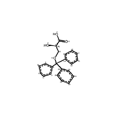 O=C(O)[C@H](O)COC(c1ccccc1)(c1ccccc1)c1ccccc1